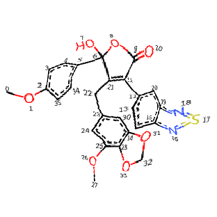 COc1ccc(C2(O)OC(=O)C(c3ccc4nsnc4c3)=C2Cc2cc(OC)c3c(c2)OCO3)cc1